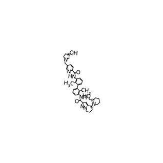 Cc1c(NC(=O)c2ccc(CN3CC[C@@H](O)C3)cn2)cccc1-c1cccc(NC(=O)c2cc3n(n2)CCC[C@@H]3N2CCCC[C@@H]2CO)c1C